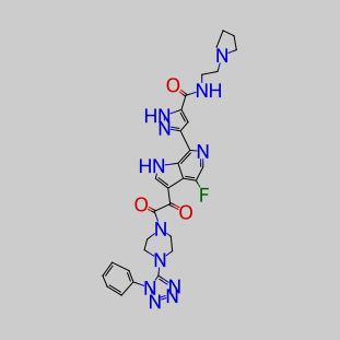 O=C(NCCN1CCCC1)c1cc(-c2ncc(F)c3c(C(=O)C(=O)N4CCN(c5nnnn5-c5ccccc5)CC4)c[nH]c23)n[nH]1